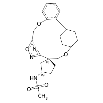 CS(=O)(=O)N[C@H]1CC[C@@]2(COC3CCC(CC3)c3ccccc3OCc3nc2no3)C1